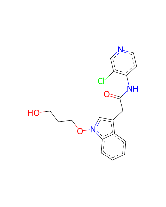 O=C(Cc1cn(OCCCO)c2ccccc12)Nc1ccncc1Cl